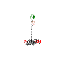 C[C@]12CCC(=O)C[C@@H]1CC[C@@H]1[C@@H]2[C@@H](CCCCCCCCCCCCC[S+]([O-])CCCC(F)(F)C(F)(F)F)C[C@]2(C)[C@@H](O)CC[C@@H]12